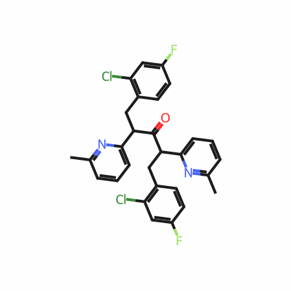 Cc1cccc(C(Cc2ccc(F)cc2Cl)C(=O)C(Cc2ccc(F)cc2Cl)c2cccc(C)n2)n1